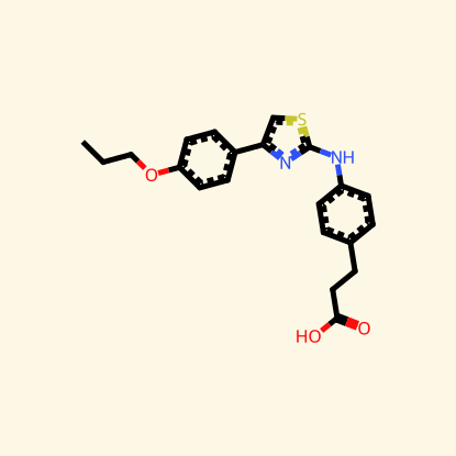 CCCOc1ccc(-c2csc(Nc3ccc(CCC(=O)O)cc3)n2)cc1